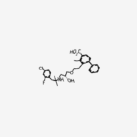 Cc1c(C(=O)O)ccc(-c2ccccc2)c1CCOC[C@H](O)CNC(C)(C)Cc1ccc(Cl)cc1F